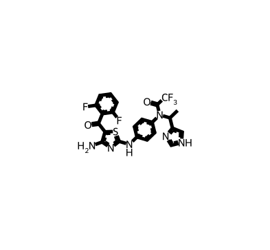 CC(c1c[nH]cn1)N(C(=O)C(F)(F)F)c1ccc(Nc2nc(N)c(C(=O)c3c(F)cccc3F)s2)cc1